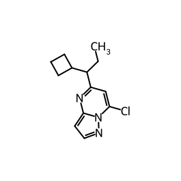 CCC(c1cc(Cl)n2nccc2n1)C1CCC1